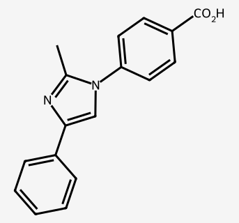 Cc1nc(-c2ccccc2)cn1-c1ccc(C(=O)O)cc1